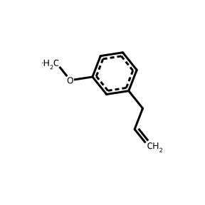 [CH2]Oc1cccc(CC=C)c1